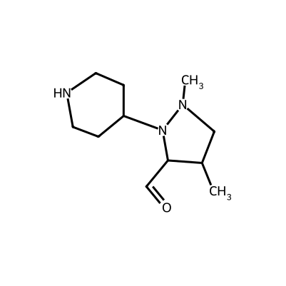 CC1CN(C)N(C2CCNCC2)C1C=O